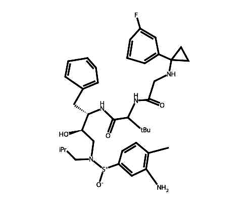 Cc1ccc([S+]([O-])N(CC(C)C)C[C@@H](O)[C@H](Cc2ccccc2)NC(=O)C(NC(=O)CNC2(c3cccc(F)c3)CC2)C(C)(C)C)cc1N